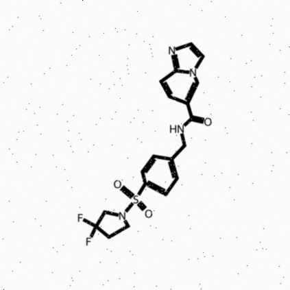 O=C(NCc1ccc(S(=O)(=O)N2CCC(F)(F)C2)cc1)c1ccc2nccn2c1